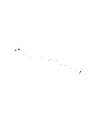 O=C=NCCCCCCCCCCCCCCCCC(=O)NO